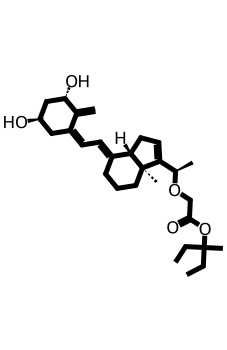 C=C1C(=CC=C2CCC[C@]3(C)C([C@@H](C)OCC(=O)OC(C)(CC)CC)=CC[C@@H]23)C[C@@H](O)C[C@@H]1O